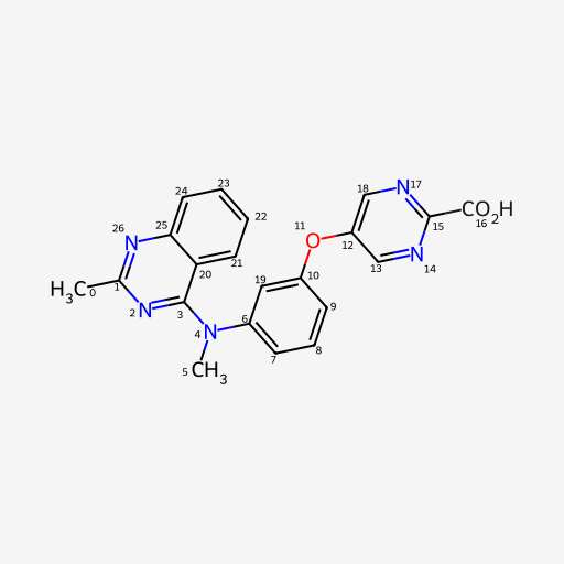 Cc1nc(N(C)c2cccc(Oc3cnc(C(=O)O)nc3)c2)c2ccccc2n1